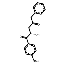 COc1ccc(C(=O)[C@@H](O)CC(=O)Cc2ccccc2)cc1